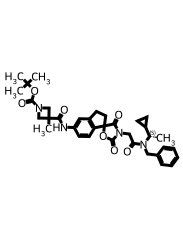 C[C@@H](C1CC1)N(Cc1ccccc1)C(=O)CN1C(=O)OC2(CCc3cc(NC(=O)C4(C)CN(C(=O)OC(C)(C)C)C4)ccc32)C1=O